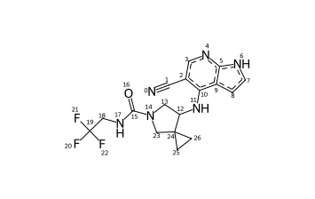 N#Cc1cnc2[nH]ccc2c1NC1CN(C(=O)NCC(F)(F)F)CC12CC2